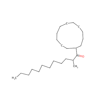 CCCCCCCCCCC(C)C(=O)C1CCCCCCCCCCC1